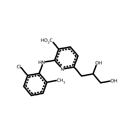 Cc1cccc(Cl)c1Nc1nc(CC(O)CO)ccc1C(=O)O